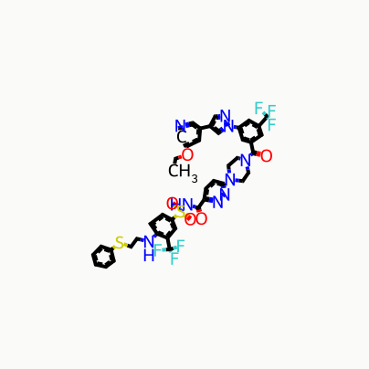 CCOc1cncc(-c2cnn(-c3cc(C(=O)N4CCN(c5ccc(C(=O)NS(=O)(=O)c6ccc(NCCSc7ccccc7)c(C(F)(F)F)c6)nn5)CC4)cc(C(F)(F)F)c3)c2)c1